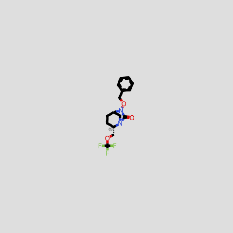 O=C1N(OCc2ccccc2)C2CC[C@@H](COC(F)(F)F)N1C2